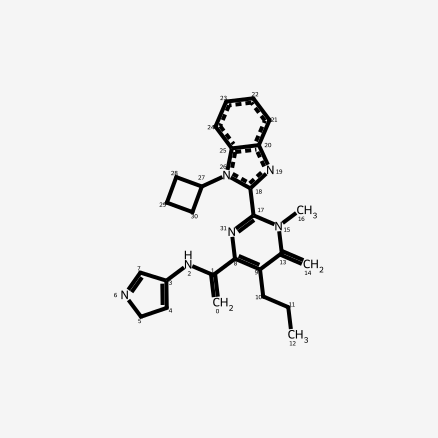 C=C(NC1=CCN=C1)C1=C(CCC)C(=C)N(C)C(c2nc3ccccc3n2C2CCC2)=N1